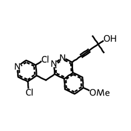 COc1ccc2c(Cc3c(Cl)cncc3Cl)nnc(C#CC(C)(C)O)c2c1